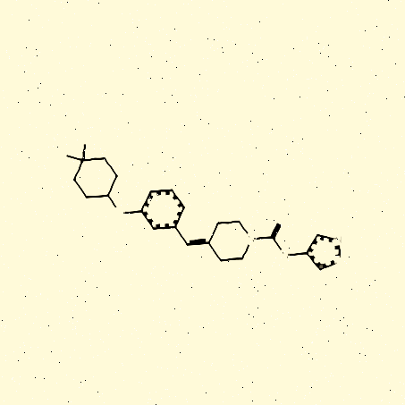 O=C(Nc1cnoc1)N1CCC(=Cc2cccc(OC3CCC(F)(F)CC3)c2)CC1